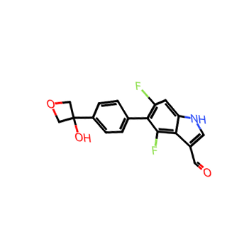 O=Cc1c[nH]c2cc(F)c(-c3ccc(C4(O)COC4)cc3)c(F)c12